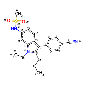 CCCc1c(-c2ccc(C#N)cc2)c2ccc(NS(C)(=O)=O)cc2n1CC